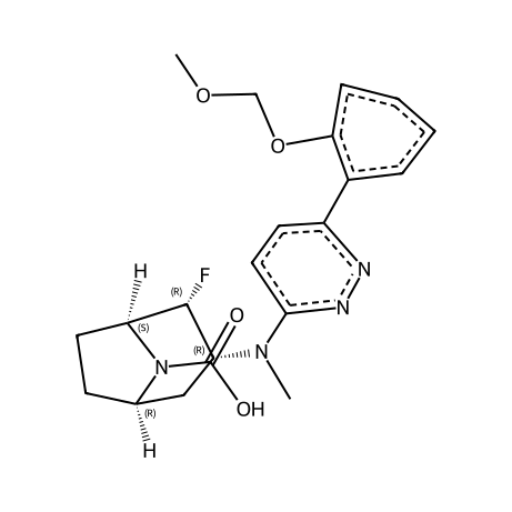 COCOc1ccccc1-c1ccc(N(C)[C@@H]2C[C@H]3CC[C@@H]([C@@H]2F)N3C(=O)O)nn1